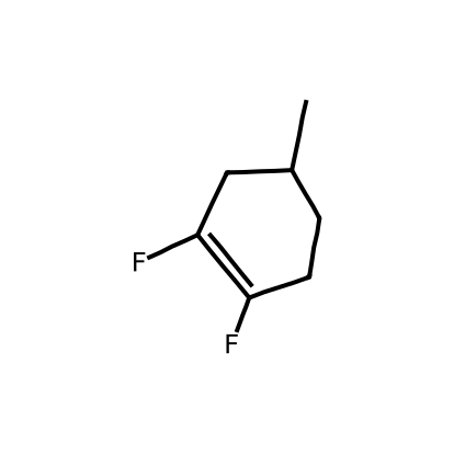 CC1CCC(F)=C(F)C1